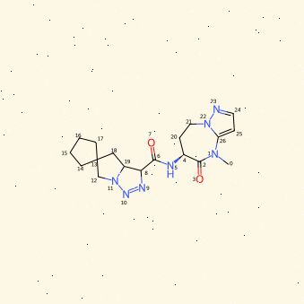 CN1C(=O)[C@@H](NC(=O)C2N=NN3CC4(CCCC4)CC23)CCn2nccc21